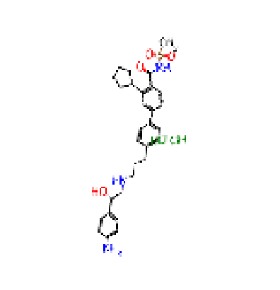 CS(=O)(=O)NC(=O)c1ccc(-c2ccc(CCCNC[C@@H](O)c3ccc(N)cc3)cc2)cc1C1CCCC1.Cl.Cl